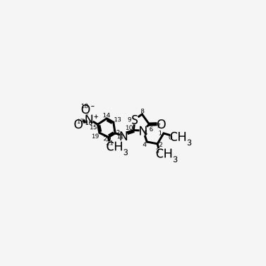 CCC(C)CN1C(=O)CSC1=Nc1ccc([N+](=O)[O-])cc1C